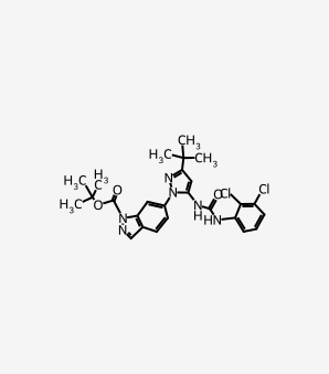 CC(C)(C)OC(=O)n1ncc2ccc(-n3nc(C(C)(C)C)cc3NC(=O)Nc3cccc(Cl)c3Cl)cc21